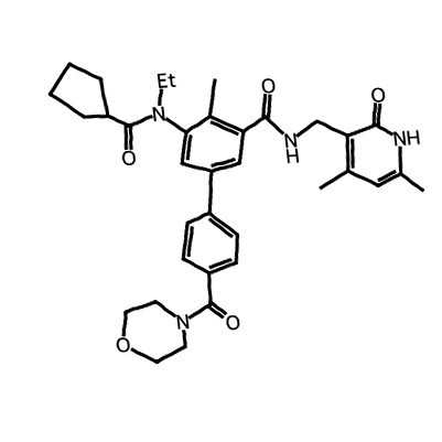 CCN(C(=O)C1CCCC1)c1cc(-c2ccc(C(=O)N3CCOCC3)cc2)cc(C(=O)NCc2c(C)cc(C)[nH]c2=O)c1C